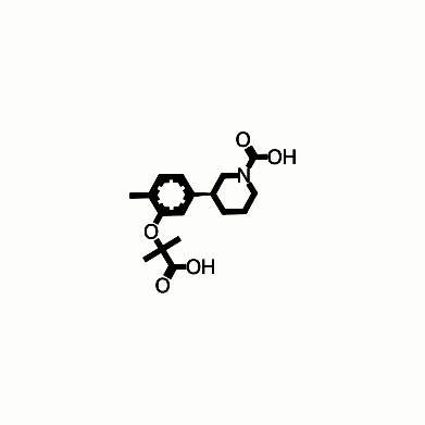 Cc1ccc([C@@H]2CCCN(C(=O)O)C2)cc1OC(C)(C)C(=O)O